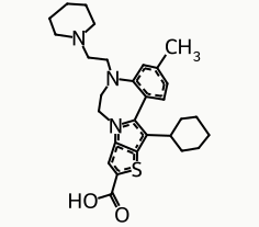 Cc1ccc2c(c1)N(CCN1CCCCC1)CCn1c-2c(C2CCCCC2)c2sc(C(=O)O)cc21